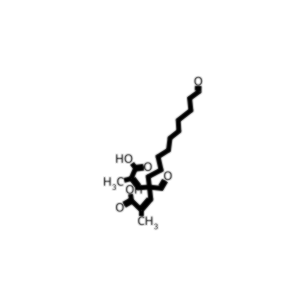 CC(=CC(C=O)(C=C(C)C(=O)O)CCCCCCCCCC=O)C(=O)O